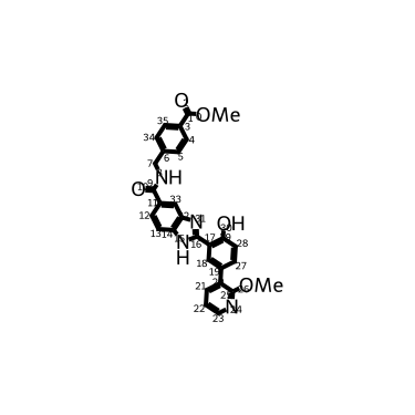 COC(=O)c1ccc(CNC(=O)c2ccc3[nH]c(-c4cc(-c5cccnc5OC)ccc4O)nc3c2)cc1